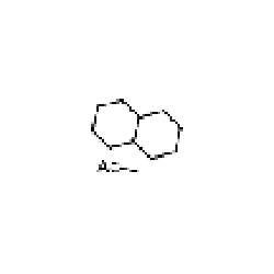 C1CCC2CCCCC2C1.CC(C)=O